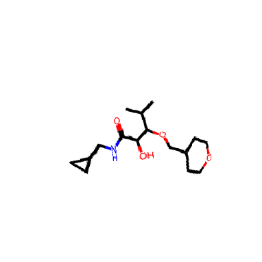 CC(C)C(OCC1CCOCC1)C(O)C(=O)NCC1CC1